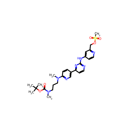 CN(CCCN(C)c1ccc(-c2ccnc(Nc3ccnc(COS(C)(=O)=O)c3)n2)cn1)C(=O)OC(C)(C)C